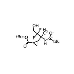 CC(C)(C)OC(=O)[C@@H]1C[C@H]1[C@@](C)(N[S+]([O-])C(C)(C)C)C(F)(F)CO